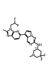 Cc1nc2ccc(-c3ccn4nc(N[C@@H]5CN(C)CC(F)(F)C5)ncc34)nc2n1CC(F)F